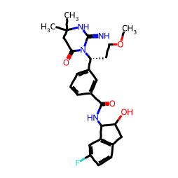 COCC[C@H](c1cccc(C(=O)NC2c3cc(F)ccc3CC2O)c1)N1C(=N)NC(C)(C)CC1=O